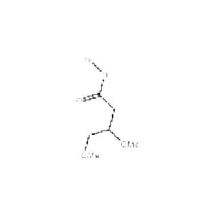 CCOC(=O)CC(COC)OC